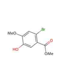 COC(=O)c1cc(O)c(OC)cc1Br